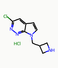 Cl.Clc1cc2ccn(CC3CNC3)c2nn1